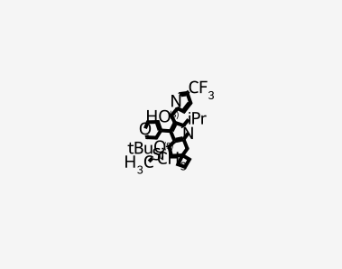 CC(C)c1nc2c(c(C3=CCOCC3)c1[C@H](O)c1ccc(C(F)(F)F)cn1)[C@@H](O[Si](C)(C)C(C)(C)C)CC1(CCC1)C2